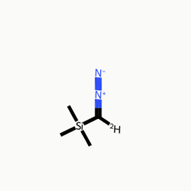 [2H]C(=[N+]=[N-])[Si](C)(C)C